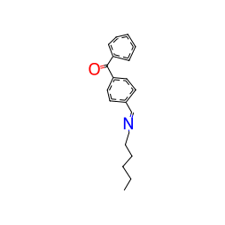 CCCCCCN=Cc1ccc(C(=O)c2ccccc2)cc1